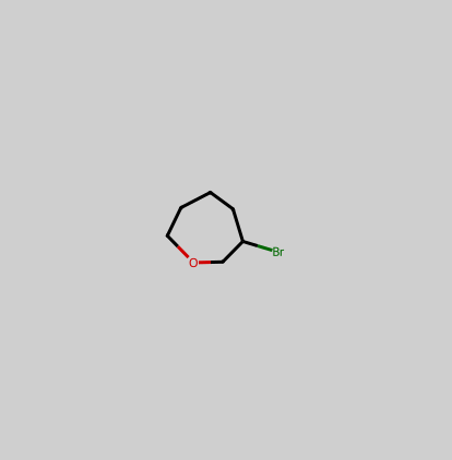 BrC1CCCCOC1